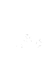 O=C(CN1CCCCC1)N1CCN(Cc2ccccc2Cl)c2ccccc21